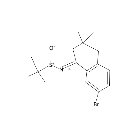 CC1(C)C/C(=N\[S+]([O-])C(C)(C)C)c2cc(Br)ccc2C1